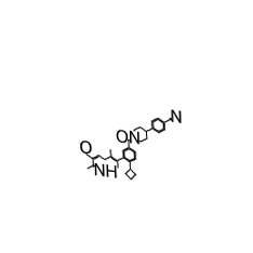 COC/C(=C/C/C(C)=C(\C)c1cc(C(=O)N2CCC(c3ccc(C#N)cc3)CC2)ccc1C1CCC1)C(C)=N